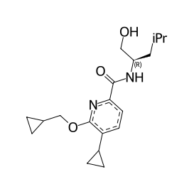 CC(C)C[C@H](CO)NC(=O)c1ccc(C2CC2)c(OCC2CC2)n1